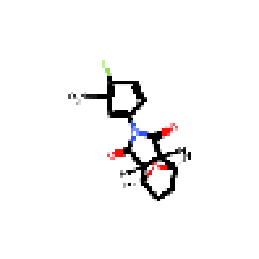 O=C1[C@@H]2[C@H](C(=O)N1c1ccc(F)c([N+](=O)[O-])c1)[C@H]1CC[C@@H]2O1